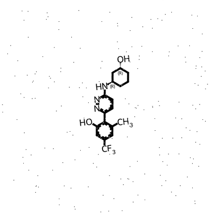 Cc1cc(C(F)(F)F)cc(O)c1-c1ccc(N[C@@H]2CCC[C@@H](O)C2)nn1